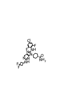 NC(=O)[C@H]1CC[C@H](n2c(Nc3c(F)cc(Cl)cc3F)nc3cnc(NC4CC(F)(F)C4)nc32)CC1